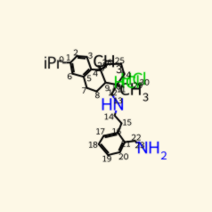 CC(C)c1ccc2c(c1)CCC1C(C)(CNCCc3ccccc3CN)CCCC21C.Cl.Cl